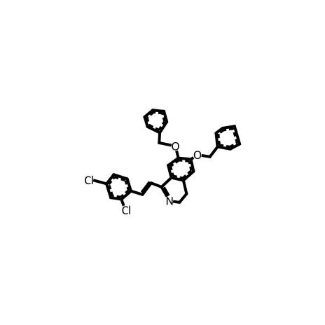 Clc1ccc(/C=C/C2=NCCc3cc(OCc4ccccc4)c(OCc4ccccc4)cc32)c(Cl)c1